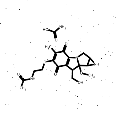 COC12C(CO)C3=C(C(=O)C(C)=C(OCCNC(C)=O)C3=O)N1CC1NC12.NC(=O)O